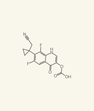 N#CCC1(c2c(F)cc3c(=O)c(OC(=O)O)c[nH]c3c2F)CC1